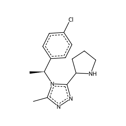 Cc1nnc(C2CCCN2)n1[C@@H](C)c1ccc(Cl)cc1